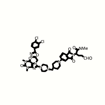 CNC(=O)C(CCC=O)N1C(=O)c2ccc(N3CCC(CN4CCN(c5nc6c(c(=O)n(C)c(=O)n6C)n5Cc5nnc(-c6ccc(Cl)c(Cl)c6)o5)CC4)CC3)cc2C1=O